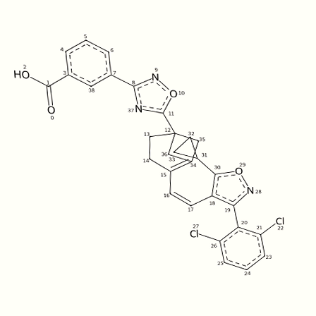 O=C(O)c1cccc(-c2noc(C34CCC(/C=C\c5c(-c6c(Cl)cccc6Cl)noc5C5CC5)=C(C3)C4)n2)c1